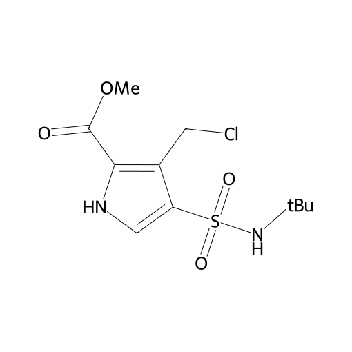 COC(=O)c1[nH]cc(S(=O)(=O)NC(C)(C)C)c1CCl